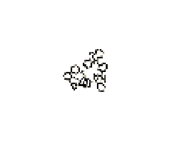 c1cc(-c2nc(-c3ccc(-c4cccc5c4C4(c6ccccc6Sc6ccccc64)c4ccccc4-5)cc3)c3ccccc3n2)cc(N2c3ccccc3Sc3ccccc32)c1